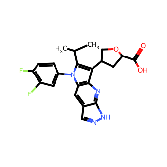 CC(C)c1c(C2COC(C(=O)O)C2)c2nc3[nH]ncc3cc2n1-c1ccc(F)c(F)c1